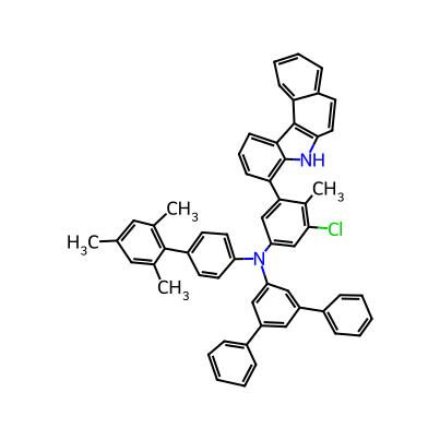 Cc1cc(C)c(-c2ccc(N(c3cc(-c4ccccc4)cc(-c4ccccc4)c3)c3cc(Cl)c(C)c(-c4cccc5c4[nH]c4ccc6ccccc6c45)c3)cc2)c(C)c1